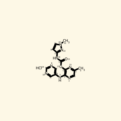 Cc1cnc(Nc2cncnc2)c(OC(=O)Nc2ccn(C)n2)n1.Cl